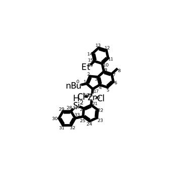 CCCCC1=Cc2c(ccc(C)c2-c2ccccc2CC)[CH]1[Zr]([Cl])([Cl])[c]1cccc2c1[SiH2]c1ccccc1-2